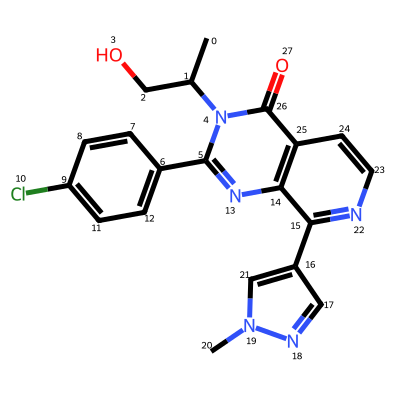 CC(CO)n1c(-c2ccc(Cl)cc2)nc2c(-c3cnn(C)c3)nccc2c1=O